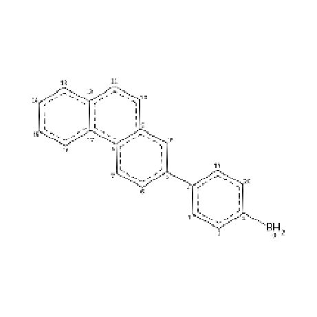 Bc1ccc(-c2ccc3c(ccc4ccccc43)c2)cc1